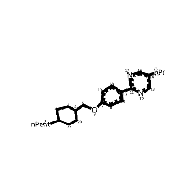 CCCCCC1CCC(COc2ccc(-c3ncc(CCC)cn3)cc2)CC1